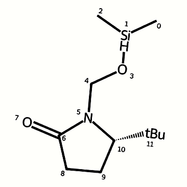 C[SiH](C)OCN1C(=O)CC[C@H]1C(C)(C)C